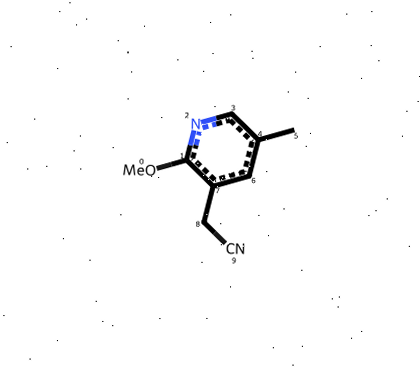 COc1ncc(C)cc1CC#N